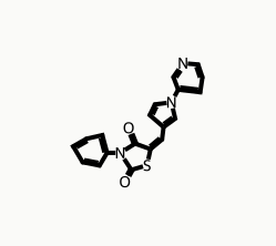 O=C1SC(=Cc2ccn(-c3cccnc3)c2)C(=O)N1c1ccccc1